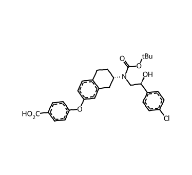 CC(C)(C)OC(=O)N(C[C@@H](O)c1ccc(Cl)cc1)[C@H]1CCc2ccc(Oc3ccc(C(=O)O)cc3)cc2C1